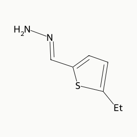 CCc1ccc(C=NN)s1